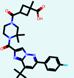 CC1(C(=O)O)CC(C(=O)N2CCN(C(=O)c3cn4nc(-c5ccc(F)cc5)cc(C(C)(C)C)c4n3)C(C)(C)C2)C1